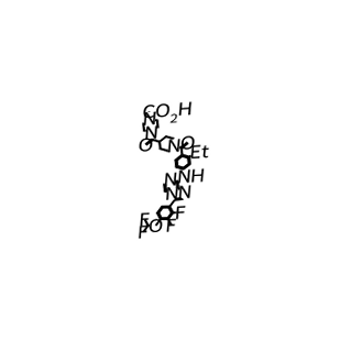 CCc1cc(Nc2nccn3c(-c4ccc(OC(F)F)c(F)c4F)cnc23)ccc1C(=O)N1CCC(C(=O)N2CCN(C(=O)O)CC2)CC1